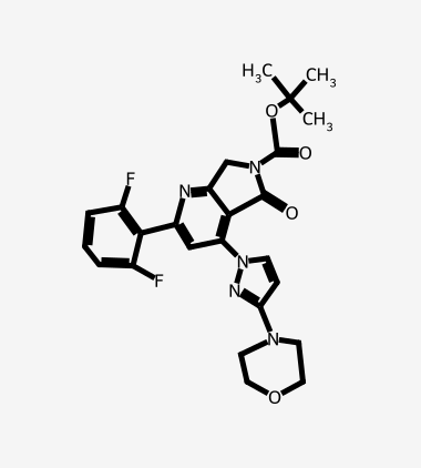 CC(C)(C)OC(=O)N1Cc2nc(-c3c(F)cccc3F)cc(-n3ccc(N4CCOCC4)n3)c2C1=O